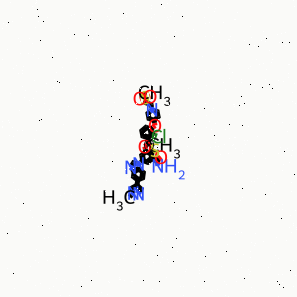 C[C@@H](OC1C=C(n2cnc3cc(-c4cnn(C)c4)ccc32)C=C(C(N)=O)C1=S)c1cccc(OC2CCN(CCS(C)(=O)=O)CC2)c1Cl